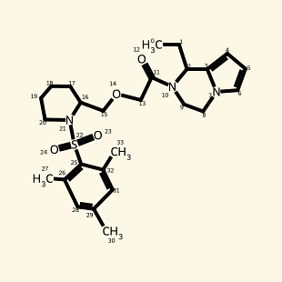 CCC1c2cccn2CCN1C(=O)COCC1CCCCN1S(=O)(=O)c1c(C)cc(C)cc1C